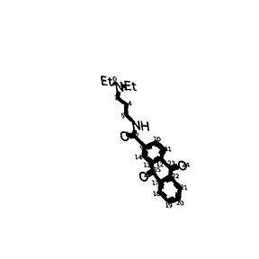 CCN(CC)CCCNC(=O)c1ccc2c(c1)C(=O)c1ccccc1C2=O